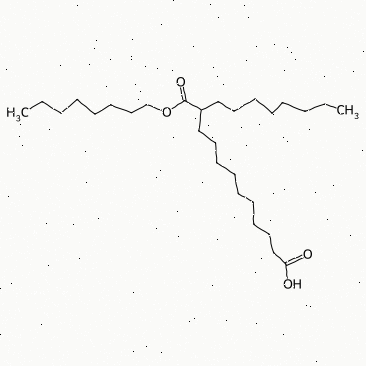 CCCCCCCCOC(=O)C(CCCCCCCC)CCCCCCCCCC(=O)O